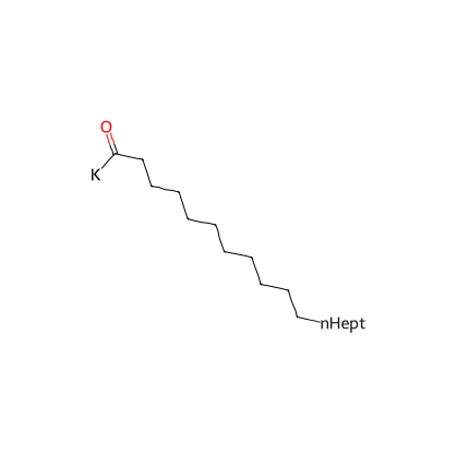 CCCCCCCCCCCCCCCCC[C](=O)[K]